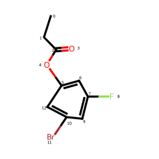 CCC(=O)Oc1cc(F)cc(Br)c1